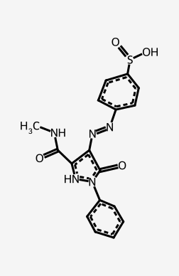 CNC(=O)c1[nH]n(-c2ccccc2)c(=O)c1N=Nc1ccc(S(=O)O)cc1